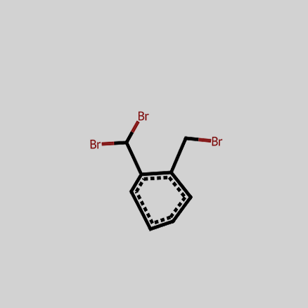 BrCc1ccccc1C(Br)Br